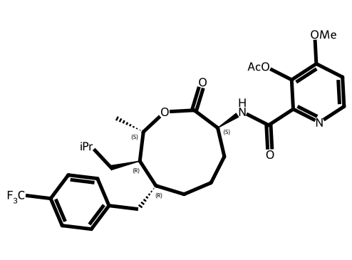 COc1ccnc(C(=O)N[C@H]2CCC[C@H](Cc3ccc(C(F)(F)F)cc3)[C@@H](CC(C)C)[C@H](C)OC2=O)c1OC(C)=O